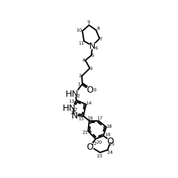 O=C(CCCCN1CCCCC1)Nc1cc(-c2ccc3c(c2)OCCO3)n[nH]1